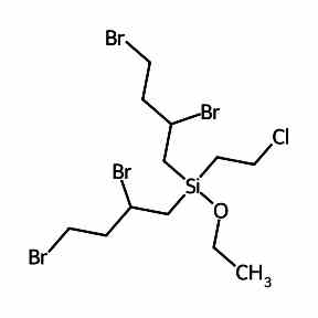 CCO[Si](CCCl)(CC(Br)CCBr)CC(Br)CCBr